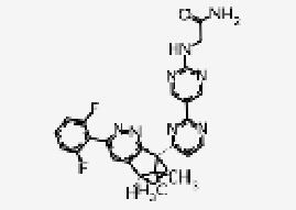 CC1(C)[C@H]2CC[C@]1(c1ccnc(-c3cnc(NCC(N)=O)nc3)n1)c1nnc(-c3c(F)cccc3F)cc12